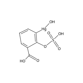 O=C(O)c1ccc[c]([Hg][OH])c1OS(=O)(=O)O